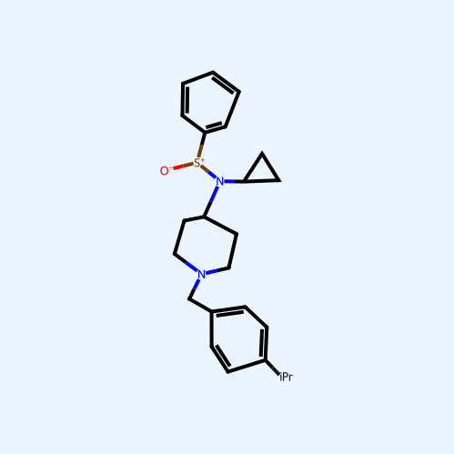 CC(C)c1ccc(CN2CCC(N(C3CC3)[S+]([O-])c3ccccc3)CC2)cc1